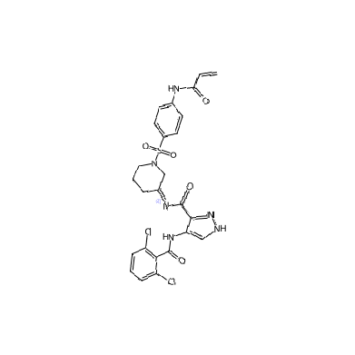 C=CC(=O)Nc1ccc(S(=O)(=O)N2CCC/C(=N/C(=O)c3n[nH]cc3NC(=O)c3c(Cl)cccc3Cl)C2)cc1